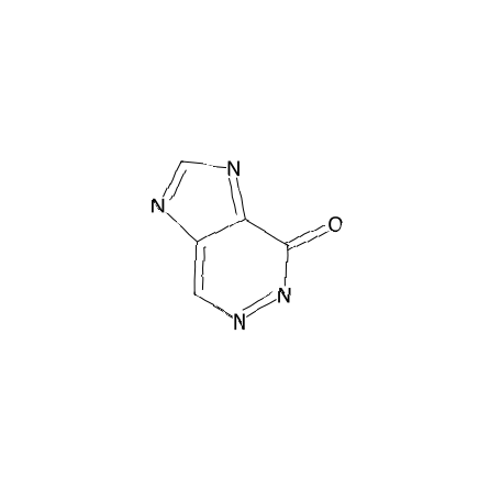 O=C1N=NC=C2N=CN=C12